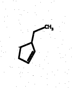 CCC1[CH]CC=C1